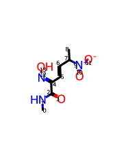 CNC(=O)C(C=CC(C)[N+](=O)[O-])=NO